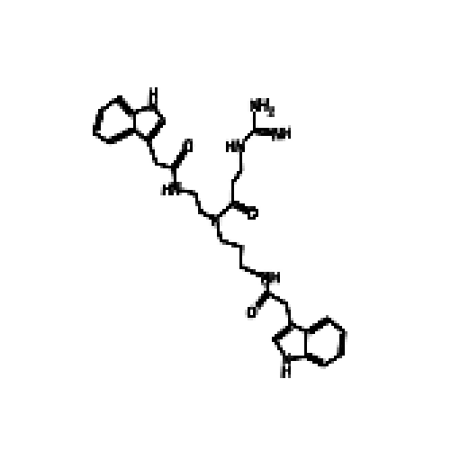 N=C(N)NCCC(=O)N(CCCNC(=O)Cc1c[nH]c2ccccc12)CCNC(=O)Cc1c[nH]c2ccccc12